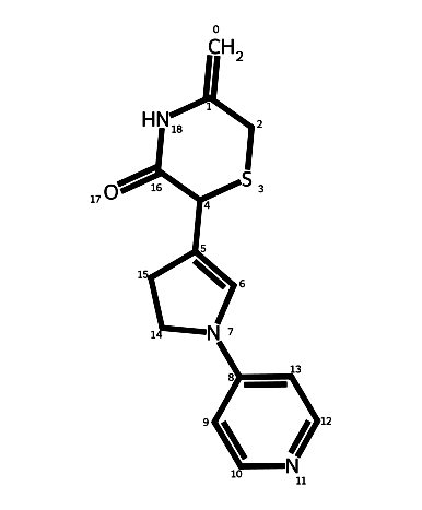 C=C1CSC(C2=CN(c3ccncc3)CC2)C(=O)N1